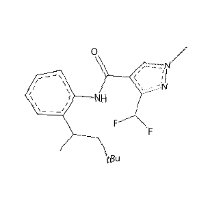 CC(CC(C)(C)C)c1ccccc1NC(=O)c1cn(C)nc1C(F)F